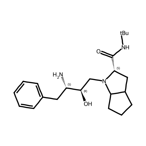 CC(C)(C)NC(=O)[C@@H]1CC2CCCC2N1C[C@@H](O)[C@@H](N)Cc1ccccc1